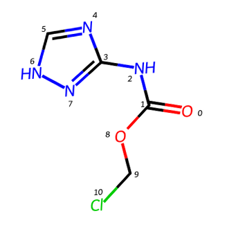 O=C(Nc1nc[nH]n1)OCCl